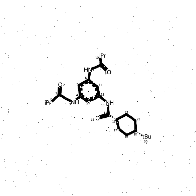 CC(C)C(=O)Nc1cc(NC(=O)C(C)C)cc(NC(=O)[C@H]2CC[C@@H](C(C)(C)C)CC2)c1